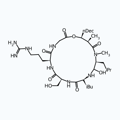 CCCCCCCCCC[C@@H]1OC(=O)CNC(=O)[C@H](CCCNC(=N)N)NC(=O)[C@H](CO)NC(=O)[C@H]([C@H](C)CC)NC(O)[C@H](CC(C)C)N(C)C(=O)[C@@H]1C